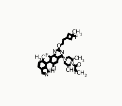 C=CC(=O)N1[C@H](C)CN(c2nc(OCCC3CC(C)(F)C3)nc3c(F)c(-c4c(C)ccc5cn[nH]c45)c(Cl)cc23)C[C@@H]1C